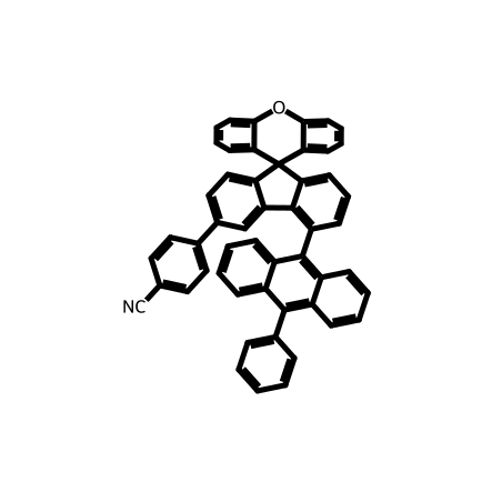 N#Cc1ccc(-c2ccc3c(c2)-c2c(-c4c5ccccc5c(-c5ccccc5)c5ccccc45)cccc2C32c3ccccc3Oc3ccccc32)cc1